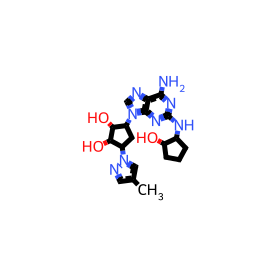 Cc1cnn(C2CC(n3cnc4c(N)nc(NC5CCCC5O)nc43)C(O)C2O)c1